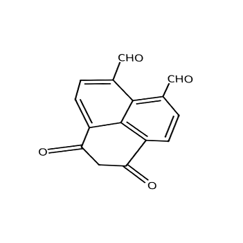 O=Cc1ccc2c3c(ccc(C=O)c13)C(=O)CC2=O